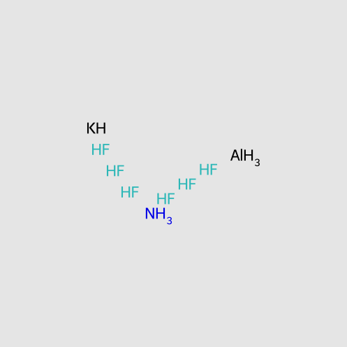 F.F.F.F.F.F.N.[AlH3].[KH]